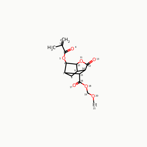 C=C(C)C(=O)OC1C2CC3C1OC(=O)C3C2C(=O)OCOCC